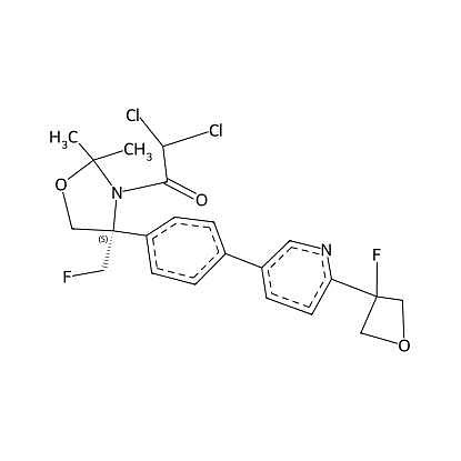 CC1(C)OC[C@](CF)(c2ccc(-c3ccc(C4(F)COC4)nc3)cc2)N1C(=O)C(Cl)Cl